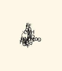 COc1ccc2c(O[C@@H]3C[C@H]4C(=O)N[C@]5(C(=O)NS(=O)(=O)C6CC6)C[C@H]5/C=C\CC[C@@H](C)C[C@@H](C)[C@H](NC(=O)OC(C)(C)C(F)(F)F)C(=O)N4C3)nc(-c3ccc(F)cc3)cc2c1